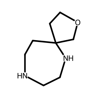 C1CNC2(CCN1)CCOC2